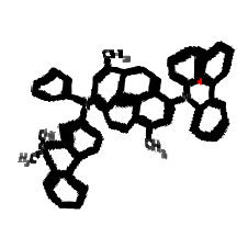 Cc1cc(N(c2ccccc2)c2ccc3c(c2)[Si](C)(C)c2ccccc2-3)c2ccc3c(C)cc(N(c4ccccc4)c4ccccc4-c4ccccc4)c4ccc1c2c34